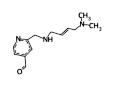 CN(C)CC=CCNCc1cc(C=O)ccn1